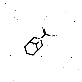 COC(=O)N1CC2CCCC(C1)C2C